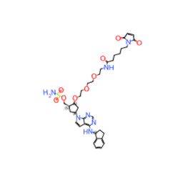 NS(=O)(=O)OC[C@@H]1C[C@@H](n2ccc3c(N[C@H]4CCc5ccccc54)ncnc32)C[C@@H]1OCCOCCOCCNC(=O)CCCCCN1C(=O)C=CC1=O